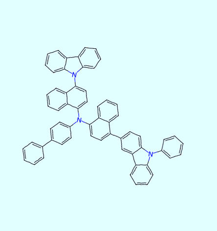 c1ccc(-c2ccc(N(c3ccc(-c4ccc5c(c4)c4ccccc4n5-c4ccccc4)c4ccccc34)c3ccc(-n4c5ccccc5c5ccccc54)c4ccccc34)cc2)cc1